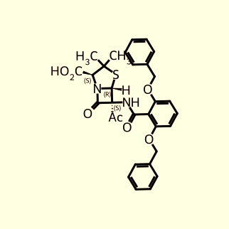 CC(=O)[C@]1(NC(=O)c2c(OCc3ccccc3)cccc2OCc2ccccc2)C(=O)N2[C@@H](C(=O)O)C(C)(C)S[C@@H]21